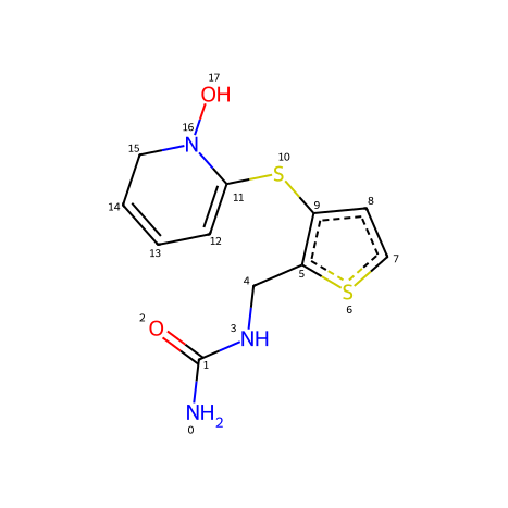 NC(=O)NCc1sccc1SC1=CC=CCN1O